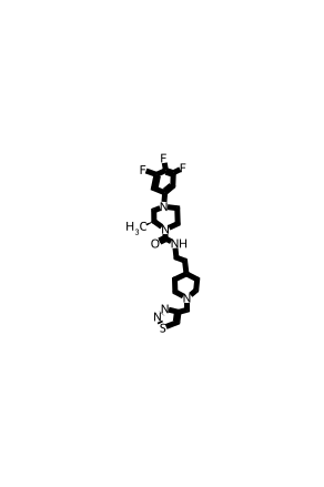 C[C@@H]1CN(c2cc(F)c(F)c(F)c2)CCN1C(=O)NCCC1CCN(Cc2csnn2)CC1